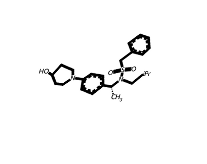 CC(C)CN([C@H](C)c1ccc(N2CCC(O)CC2)cc1)S(=O)(=O)Cc1ccccc1